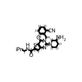 CC(C)CNC(=O)c1cc2nc(N3CCCC(N)C3)n(Cc3ccccc3C#N)c(=O)c2s1